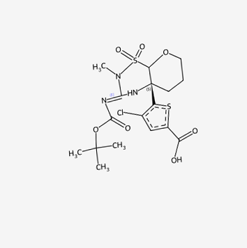 CN1/C(=N/C(=O)OC(C)(C)C)N[C@@]2(c3sc(C(=O)O)cc3Cl)CCCOC2S1(=O)=O